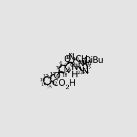 Cc1noc(-c2ccc(OCC3CCCCC3C(=O)O)cn2)c1Nc1cncc(OCC(C)C)n1